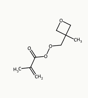 C=C(C)C(=O)OOCC1(C)COC1